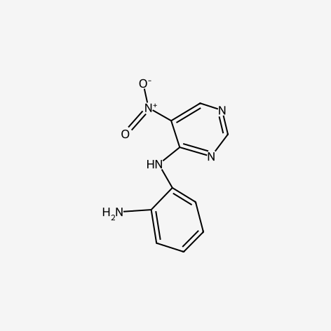 Nc1ccccc1Nc1ncncc1[N+](=O)[O-]